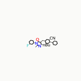 CCCCc1nc(C)n(-c2cccc(F)c2)c(=O)c1Cc1ccc(-c2ccccc2)c(C#N)c1